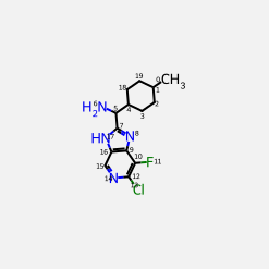 CC1CCC(C(N)c2nc3c(F)c(Cl)ncc3[nH]2)CC1